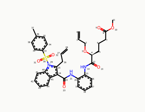 C=CCO[C@@H](CCCC(=O)OC)C(=O)Nc1ccccc1NC(=O)c1c(CC=C)n(S(=O)(=O)c2ccc(C)cc2)c2ccccc12